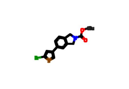 CC(C)(C)OC(=O)N1Cc2ccc(-c3csc(Br)c3)cc2C1